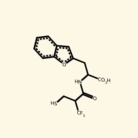 O=C(O)C(Cc1cc2ccccc2o1)NC(=O)C(CS)C(F)(F)F